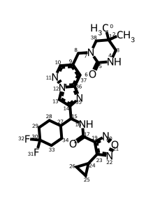 CC1(C)CNC(=O)N(Cc2cnn3cc(C(NC(=O)c4nonc4C4CC4)C4CCC(F)(F)CC4)nc3c2)C1